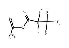 O=C(OC(=O)C(F)(F)C(F)(F)C(F)(F)F)C(F)(F)F